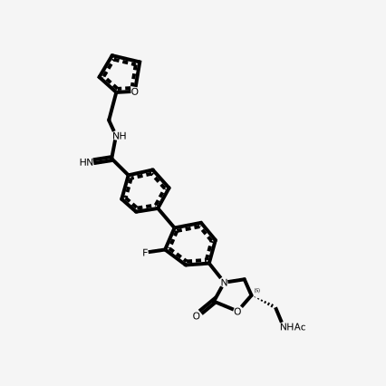 CC(=O)NC[C@H]1CN(c2ccc(-c3ccc(C(=N)NCc4ccco4)cc3)c(F)c2)C(=O)O1